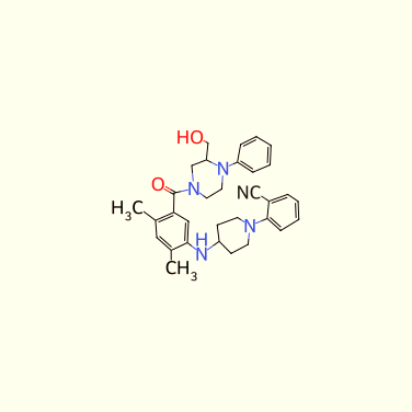 Cc1cc(C)c(C(=O)N2CCN(c3ccccc3)C(CO)C2)cc1NC1CCN(c2ccccc2C#N)CC1